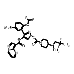 CSc1ccc(OC(F)F)c(-c2nn(CC(=O)N3CCC(N(C)CC(C)(F)F)CC3)cc2NC(=O)c2cnn3cccnc23)c1